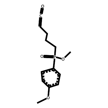 COc1ccc(P(=O)(CCCC=C=O)OC)cc1